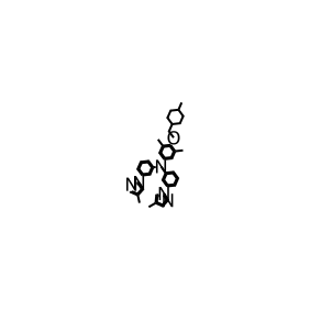 Cc1cnn(-c2cccc(N(c3cccc(-n4cc(C)cn4)c3)c3cc(C)c(OCC4CCC(C)CC4)c(C)c3)c2)c1